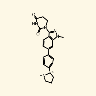 Cn1nc(N2CCC(=O)NC2=O)c2ccc(-c3ccc([C@H]4CCCN4)cc3)cc21